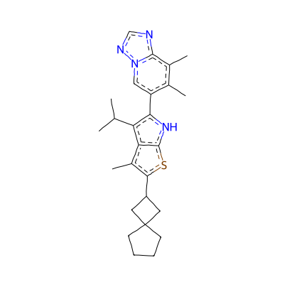 Cc1c(-c2[nH]c3sc(C4CC5(CCCC5)C4)c(C)c3c2C(C)C)cn2ncnc2c1C